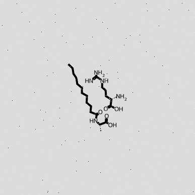 CCCCCCCCCCCC(=O)N[C@@H](C)C(=O)O.N=C(N)NCCC[C@H](N)C(=O)O